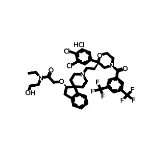 CCN(CCO)C(=O)CO[C@H]1Cc2ccccc2C12CCN(CC[C@]1(c3ccc(Cl)c(Cl)c3)CN(C(=O)c3cc(C(F)(F)F)cc(C(F)(F)F)c3)CCO1)CC2.Cl